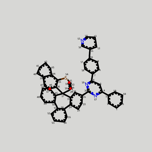 c1ccc(-c2cc(-c3ccc(-c4cccnc4)cc3)nc(-c3ccc4c(c3)C3(c5ccccc5Sc5c3ccc3ccccc53)c3ccccc3-c3ccccc3-4)n2)cc1